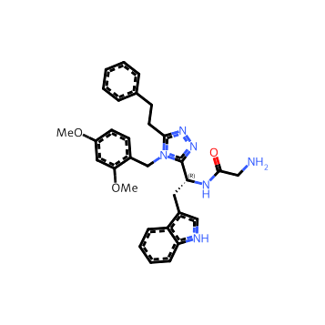 COc1ccc(Cn2c(CCc3ccccc3)nnc2[C@@H](Cc2c[nH]c3ccccc23)NC(=O)CN)c(OC)c1